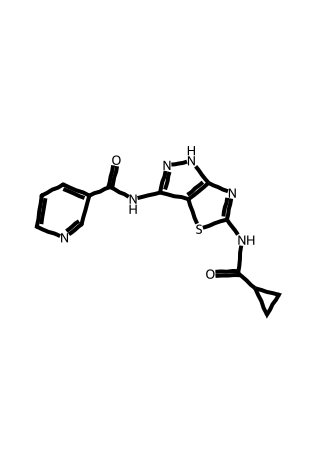 O=C(Nc1n[nH]c2nc(NC(=O)C3CC3)sc12)c1cccnc1